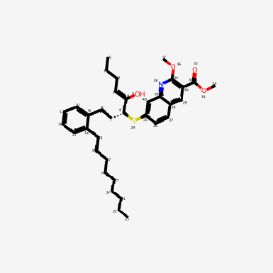 CCCC=C(O)[C@@H](CCc1ccccc1CCCCCCCCC)Sc1ccc2cc(C(=O)OC)c(OC)nc2c1